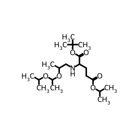 CC(C)OC(=O)CCC(NCC(C)OC(C)OC(C)C)C(=O)OC(C)(C)C